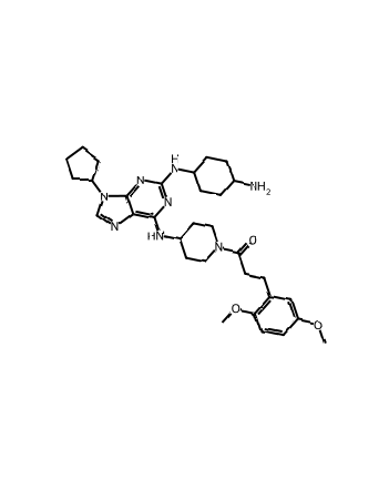 COc1ccc(OC)c(CCC(=O)N2CCC(Nc3nc(NC4CCC(N)CC4)nc4c3ncn4C3CCCC3)CC2)c1